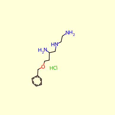 Cl.NCCNCC(N)CCOCc1ccccc1